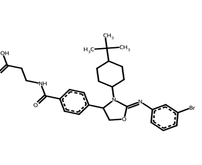 CC(C)(C)C1CCC(N2C(=Nc3cccc(Br)c3)OCC2c2ccc(C(=O)NCCC(=O)O)cc2)CC1